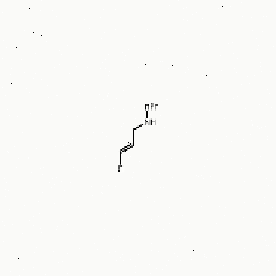 C[CH]CNCC=CCl